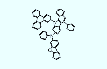 c1ccc(-c2cc3ccccc3c3c2c2ccc(N(c4ccccc4)c4ccc5c(c4)oc4ccccc45)cc2n3-c2ccc3c4ccccc4c4ccccc4c3c2)cc1